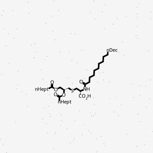 CCCCCCCCCCCCCCCCCCCC(=O)N[C@@H](CSC[C@@H](COC(=O)CCCCCCC)OC(=O)CCCCCCC)C(=O)O